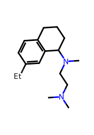 CCc1ccc2c(c1)C(N(C)CCN(C)C)CCC2